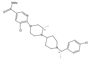 CNC(=O)c1cnc(N2CCN(C3CCN([C@@H](C)c4ccc(Cl)cc4)CC3)[C@@H](C)C2)c(Cl)c1